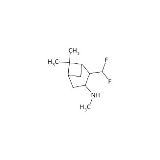 CNC1CC2CC(C1C(F)F)C2(C)C